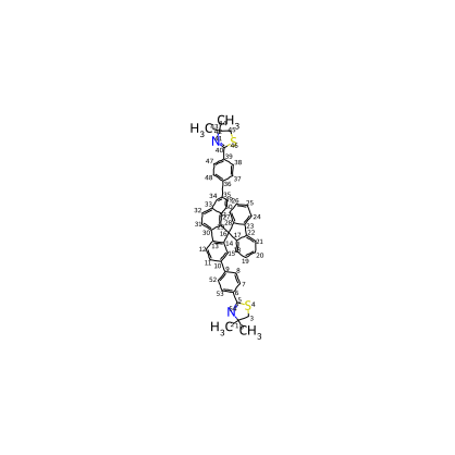 CC1(C)CSC(c2ccc(-c3ccc4c(c3)C3(c5ccccc5-c5ccccc53)c3c-4ccc4cc(-c5ccc(C6=NC(C)(C)CS6)cc5)ccc34)cc2)=N1